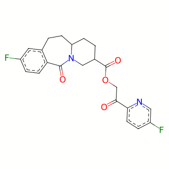 O=C(COC(=O)C1CCC2CCc3cc(F)ccc3C(=O)N2C1)c1ccc(F)cn1